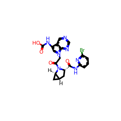 O=C(O)Nc1cn(CC(=O)N2[C@@H]3C[C@@H]3C[C@H]2C(=O)Nc2cccc(Br)n2)c2ncncc12